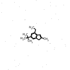 CCc1cc(C(C)(C)C)cc2c1C=C(C)C2